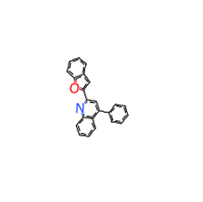 c1ccc(-c2cc(-c3cc4ccccc4o3)nc3ccccc23)cc1